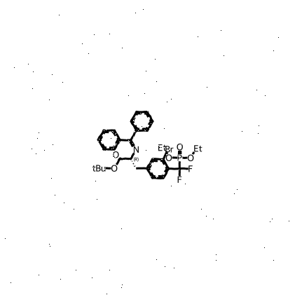 CCOP(=O)(OCC)C(F)(F)c1ccc(C[C@@H](N=C(c2ccccc2)c2ccccc2)C(=O)OC(C)(C)C)cc1Br